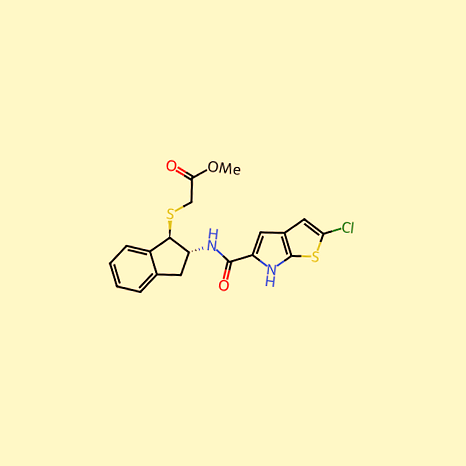 COC(=O)CS[C@@H]1c2ccccc2C[C@H]1NC(=O)c1cc2cc(Cl)sc2[nH]1